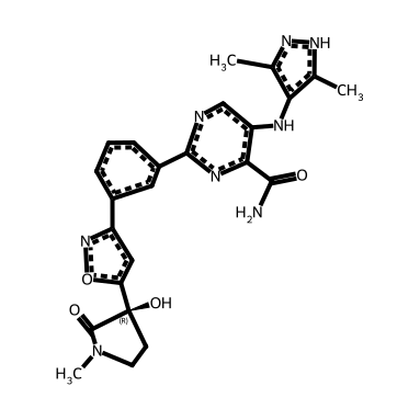 Cc1n[nH]c(C)c1Nc1cnc(-c2cccc(-c3cc([C@]4(O)CCN(C)C4=O)on3)c2)nc1C(N)=O